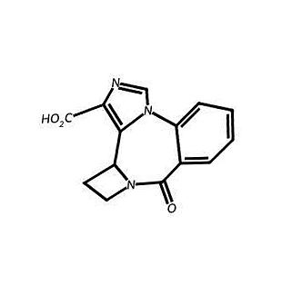 O=C(O)c1ncn2c1C1CCN1C(=O)c1ccccc1-2